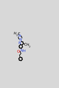 Cc1cc(N2CCN(C)CC2)nc2ccc(NC(=O)CCc3ccccc3)cc12